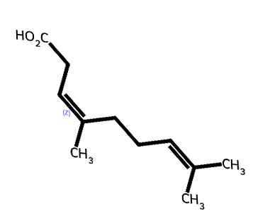 CC(C)=CCC/C(C)=C\CC(=O)O